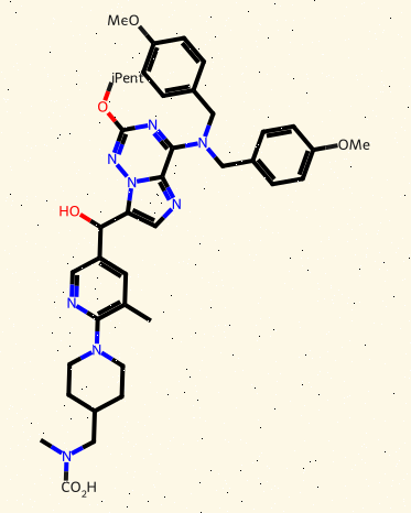 CCCC(C)Oc1nc(N(Cc2ccc(OC)cc2)Cc2ccc(OC)cc2)c2ncc(C(O)c3cnc(N4CCC(CN(C)C(=O)O)CC4)c(C)c3)n2n1